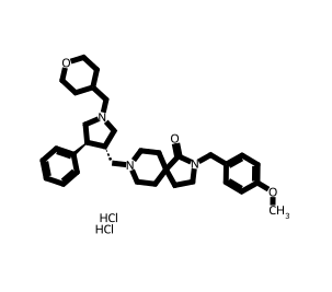 COc1ccc(CN2CCC3(CCN(C[C@H]4CN(CC5CCOCC5)C[C@@H]4c4ccccc4)CC3)C2=O)cc1.Cl.Cl